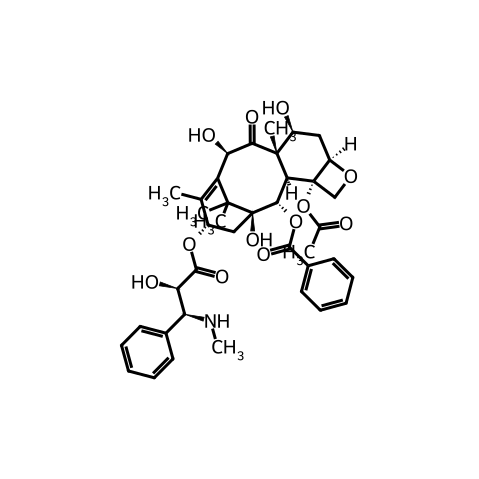 CN[C@@H](c1ccccc1)[C@@H](O)C(=O)O[C@H]1C[C@@]2(O)[C@@H](OC(=O)c3ccccc3)[C@@H]3[C@]4(OC(C)=O)CO[C@@H]4C[C@H](O)[C@@]3(C)C(=O)[C@H](O)C(=C1C)C2(C)C